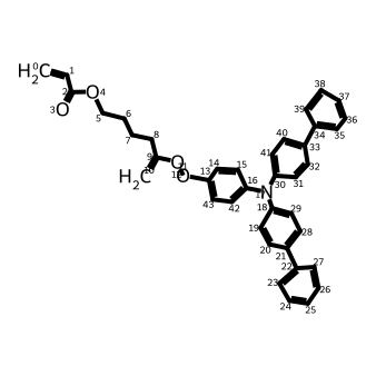 C=CC(=O)OCCCCC(=C)OOc1ccc(N(c2ccc(-c3ccccc3)cc2)c2ccc(-c3ccccc3)cc2)cc1